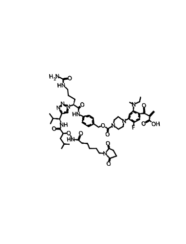 C=C(C(=O)O)C(=O)c1cc(F)c(N2CCN(C(=O)OCc3ccc(NC(=O)[C@H](CCCNC(N)=O)n4cc([C@@H](NC(=O)C(CC(C)C)ONC(=O)CCCCCN5C(=O)CCC5=O)C(C)C)nn4)cc3)CC2)cc1N(C)CC